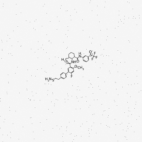 COc1cc(F)c(-c2ccc(CCSN)cc2)cc1C(=O)NC1C(C(=O)Nc2cccc([S+]([O-])C(F)(F)F)c2)CCC[C@@H]1C